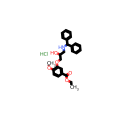 CCOC(=O)c1ccc(OC)c(OCC(O)CNC(c2ccccc2)c2ccccc2)c1.Cl